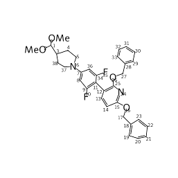 COC(OC)C1CCN(c2cc(F)c(-c3ccc(OCc4ccccc4)nc3OCc3ccccc3)c(F)c2)CC1